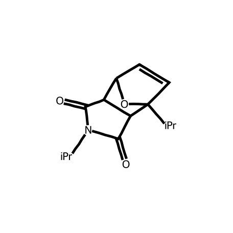 CC(C)N1C(=O)C2C3C=CC(C(C)C)(O3)C2C1=O